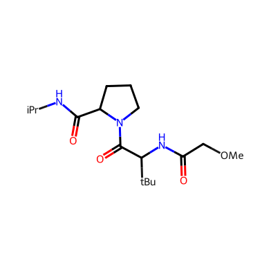 COCC(=O)NC(C(=O)N1CCCC1C(=O)NC(C)C)C(C)(C)C